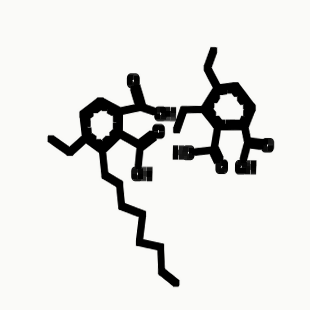 CCCCCCCCc1c(CC)ccc(C(=O)O)c1C(=O)O.CCc1ccc(C(=O)O)c(C(=O)O)c1CC